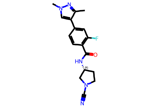 Cc1nn(C)cc1-c1ccc(C(=O)N[C@@H]2CCN(C#N)C2)c(F)c1